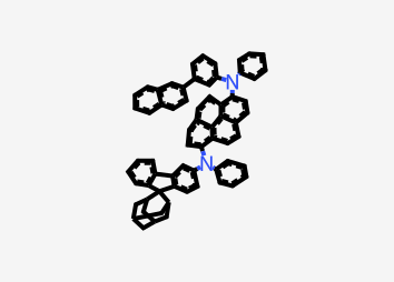 c1ccc(N(c2cccc(-c3ccc4ccccc4c3)c2)c2ccc3ccc4c(N(c5ccccc5)c5ccc6c(c5)-c5ccccc5C65C6CC7CC(C6)CC5C7)ccc5ccc2c3c54)cc1